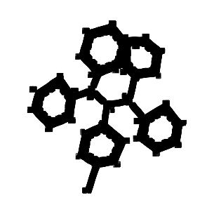 Cc1ccc(N(P(c2ccccc2)c2ccccc2)P(c2ccccc2)c2ccccc2)cc1